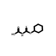 O=C(O)NC(=S)OC1CCCCC1